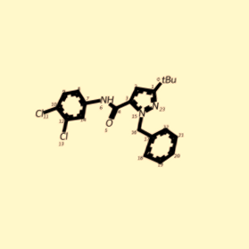 CC(C)(C)c1cc(C(=O)Nc2ccc(Cl)c(Cl)c2)n(Cc2ccccc2)n1